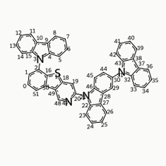 c1cc(-n2c3ccccc3c3ccccc32)c2sc3cc(-n4c5ccccc5c5cc(-n6c7ccccc7c7ccccc76)ccc54)ncc3c2c1